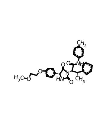 COCCOc1ccc([C@H]2NC(=O)N([C@H](C(=O)Nc3ccc(C)cc3)[C@@H](C)c3ccccc3)C2=O)cc1